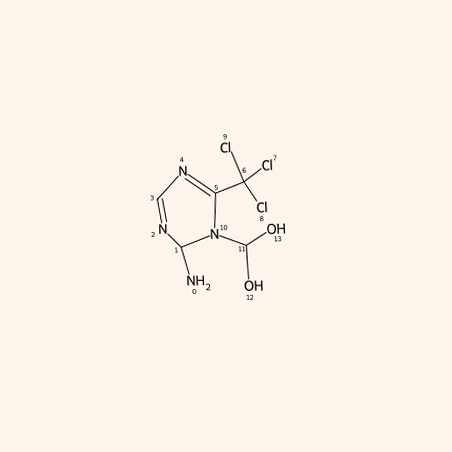 NC1N=CN=C(C(Cl)(Cl)Cl)N1C(O)O